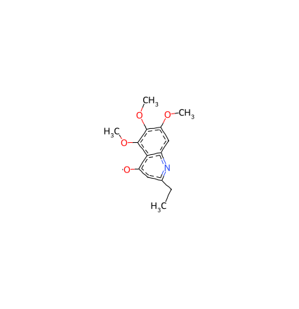 CCc1cc([O])c2c(OC)c(OC)c(OC)cc2n1